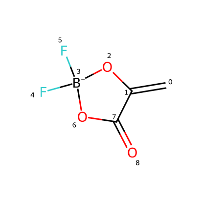 C=C1O[B-](F)(F)OC1=O